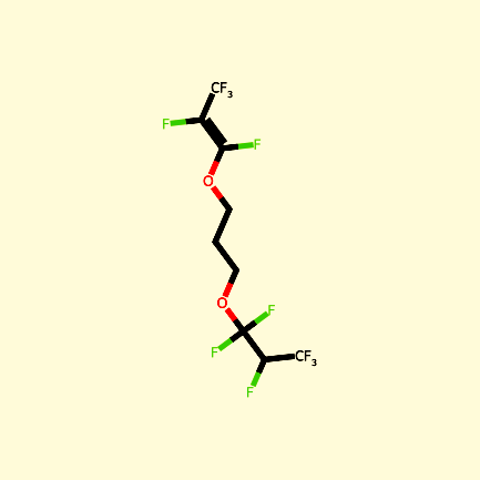 FC(OCCCOC(F)(F)C(F)C(F)(F)F)=C(F)C(F)(F)F